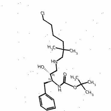 CC(C)(CCCCCl)CNC[C@@H](O)[C@H](Cc1ccccc1)NC(=O)OC(C)(C)C